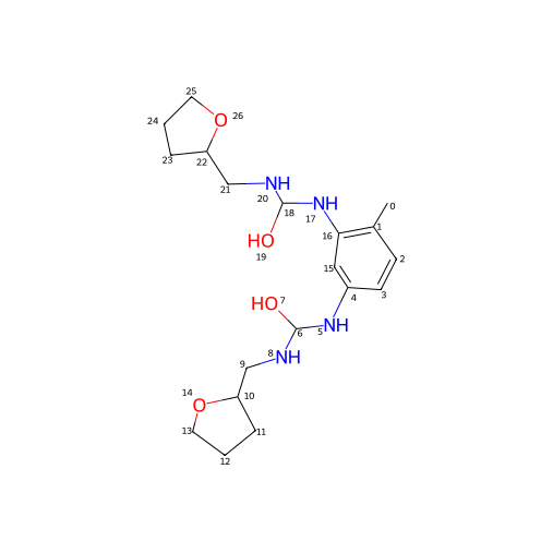 Cc1ccc(NC(O)NCC2CCCO2)cc1NC(O)NCC1CCCO1